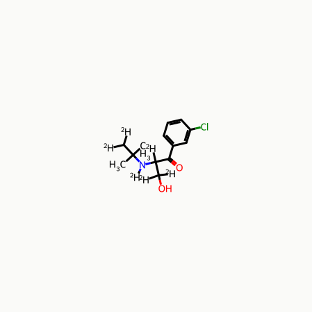 [2H]C([2H])C(C)(C)N([2H])C([2H])(C(=O)c1cccc(Cl)c1)C([2H])([2H])O